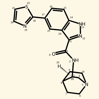 O=C(N[C@H]1CN2CCC1CC2)c1n[nH]c2ccc(-c3nccs3)cc12